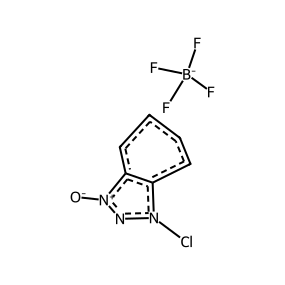 F[B-](F)(F)F.[O-][n+]1nn(Cl)c2ccccc21